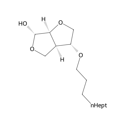 CCCCCCCCCCO[C@H]1CO[C@H]2[C@@H]1CO[C@@H]2O